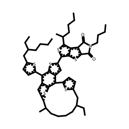 CCCCC(CC)Cc1ccc(-c2c3cc4sc3c(c3cc(-c5sc(C(C)CCCC)c6c7c(sc56)C(=O)N(CCCC)C7=O)sc23)-c2ccc(s2)CC(CC)CCCCC4C)s1